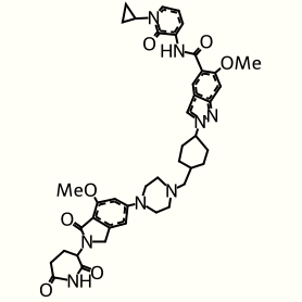 COc1cc2nn(C3CCC(CN4CCN(c5cc6c(c(OC)c5)C(=O)N(C5CCC(=O)NC5=O)C6)CC4)CC3)cc2cc1C(=O)Nc1cccn(C2CC2)c1=O